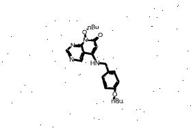 CCCCOc1ccc(CNc2cc(=O)n(OCCCC)c3ncncc23)cc1